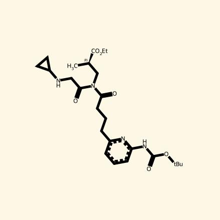 CCOC(=O)[C@H](C)CN(C(=O)CCCc1cccc(NC(=O)OC(C)(C)C)n1)C(=O)CNC1CC1